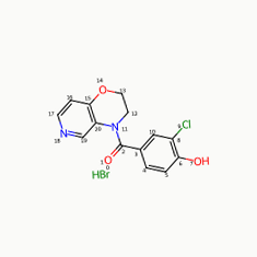 Br.O=C(c1ccc(O)c(Cl)c1)N1CCOc2ccncc21